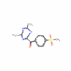 CS(=O)(=O)c1ccc(C(=O)c2nc(C(Cl)(Cl)Cl)nc(C(Cl)(Cl)Cl)n2)cc1